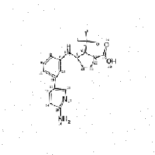 CC(C)(C)C1C(Nc2cccc(-c3ccc(N)nc3)c2)CCN1C(=O)O